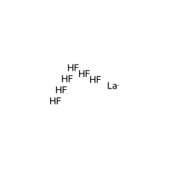 F.F.F.F.F.F.[La]